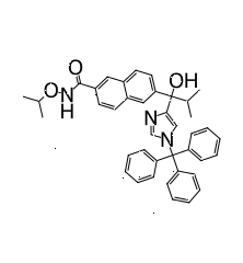 CC(C)ONC(=O)c1ccc2cc(C(O)(c3cn(C(c4ccccc4)(c4ccccc4)c4ccccc4)cn3)C(C)C)ccc2c1